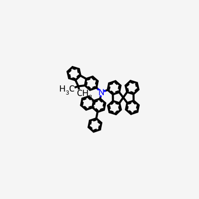 CC1(C)c2ccccc2-c2ccc(N(c3cccc4c3-c3ccccc3C43c4ccccc4-c4ccccc43)c3ccc(-c4ccccc4)c4ccccc34)cc21